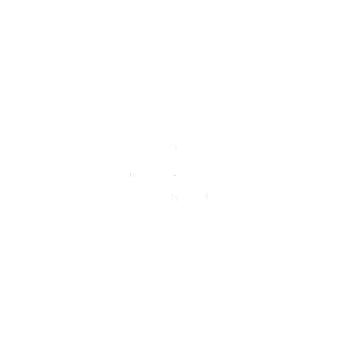 CCC[Si](CCC)(CCC)C(C)[O]